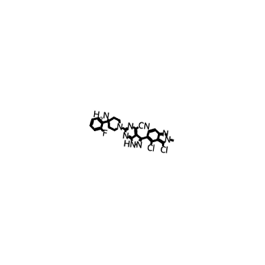 Cn1nc2ccc(-c3n[nH]c4nc(N5CCC(N)(c6ccccc6F)CC5)nc(C#N)c34)c(Cl)c2c1Cl